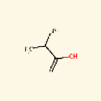 C=C(O)C(C(C)C)C(F)(F)F